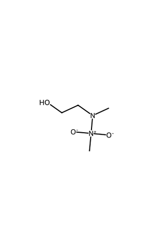 CN(CCO)[N+](C)([O-])[O-]